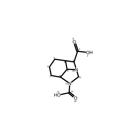 O=C(O)C1C2CCCC3C2N1CN3C(=O)O